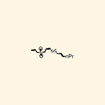 C=CCS(=O)(=O)C/C=C\SSC/C=C/CCC